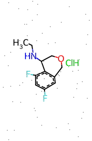 CCNC1COCc2cc(F)cc(F)c21.Cl